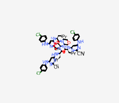 CC(C)C[C@H](Nc1cc(Nc2ccc(Cl)cc2)nc(C#N)n1)C(=O)N1CCOCC1N(C(=O)[C@H](CC(C)C)Nc1cc(Nc2ccc(Cl)cc2)nc(C#N)n1)C1COCCN1C(=O)[C@H](CC(C)C)Nc1cc(Nc2ccc(Cl)cc2)nc(C#N)n1